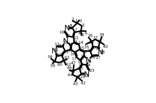 CC1(C)CC(C)(C)c2c1ncc1c2c2cc3c(cc4c5c6c(ncc5n5c7cnc8c(c7c3c45)C(C)(C)CC8(C)C)C(C)(C)CC6(C)C)c3c4c5c(ncc4n1c23)C(C)(C)CC5(C)C